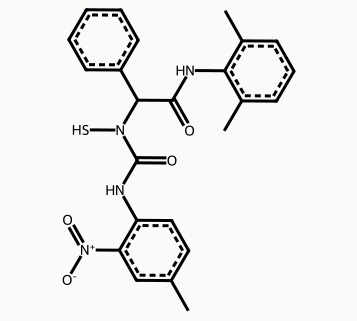 Cc1ccc(NC(=O)N(S)C(C(=O)Nc2c(C)cccc2C)c2ccccc2)c([N+](=O)[O-])c1